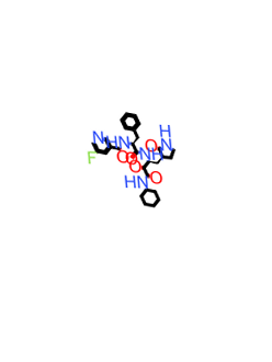 O=C(NC1CCCCC1)C(=O)[C@H](C[C@@H]1CCNC1=O)NC(=O)[C@H](Cc1ccccc1)NC(=O)c1cncc(F)c1